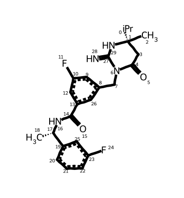 CC(C)[C@]1(C)CC(=O)N(Cc2cc(F)cc(C(=O)N[C@@H](C)c3cccc(F)c3)c2)C(=N)N1